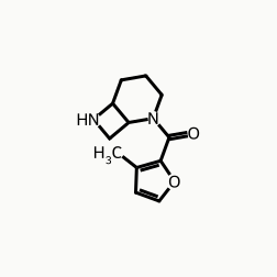 Cc1ccoc1C(=O)N1CCCC2NCC21